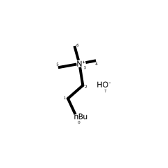 CCCCCC[N+](C)(C)C.[OH-]